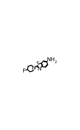 Nc1ccc2nc(N3CCC(F)CC3)sc2c1